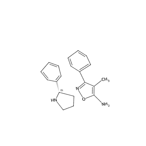 Cc1c(-c2ccccc2)noc1N.c1ccc([C@@H]2CCCN2)cc1